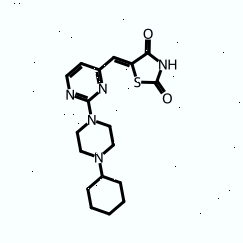 O=C1NC(=O)C(=Cc2ccnc(N3CCN(C4CCCCC4)CC3)n2)S1